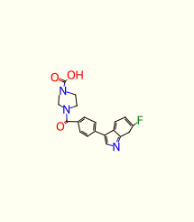 O=C(O)N1CCN(C(=O)c2ccc(C3=CN=C4CC(F)=CC=C34)cc2)CC1